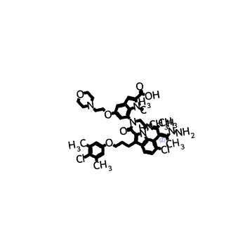 CC(=N)/C(=C(/C)NN)c1c(Cl)ccc2c(CCCOc3cc(C)c(Cl)c(C)c3)c3n(c12)[C@H](C)CN(c1cc(OCCN2CCOCC2)cc2cc(C(=O)O)n(C)c12)C3=O